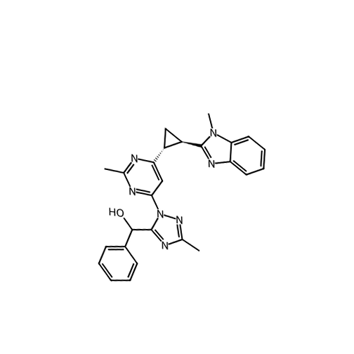 Cc1nc([C@@H]2C[C@H]2c2nc3ccccc3n2C)cc(-n2nc(C)nc2C(O)c2ccccc2)n1